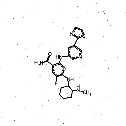 CNC1CCCCC1Nc1nc(Nc2cncc(-c3nccs3)c2)c(C(N)=O)cc1F